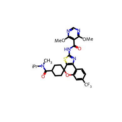 COc1ncnc(OC)c1C(=O)Nc1nc2c(s1)C1(CCC(C(=O)N(C)C(C)C)CC1)Oc1cc(C(F)(F)F)ccc1-2